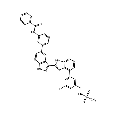 CS(=O)(=O)NCc1cc(F)cc(-c2cncc3[nH]c(-c4n[nH]c5ncc(-c6cncc(NC(=O)c7ccccc7)c6)cc45)nc23)c1